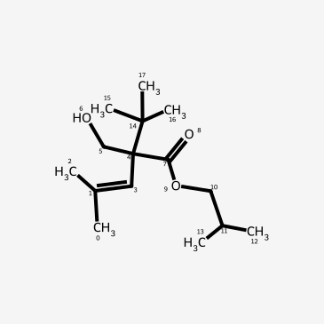 CC(C)=CC(CO)(C(=O)OCC(C)C)C(C)(C)C